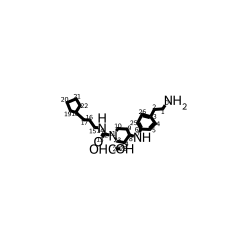 NCCc1ccc(NC2CCN(C(=O)NCCCC3CCCC3)CC2)cc1.O=CO